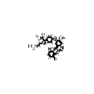 COC(=O)[C@@H](NCCN)C1CCC(Oc2cc3c(Nc4cccc(I)c4F)ncnc3cc2OC)CC1